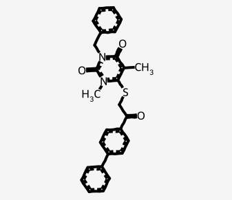 Cc1c(SCC(=O)c2ccc(-c3ccccc3)cc2)n(C)c(=O)n(Cc2ccccc2)c1=O